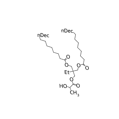 CCCCCCCCCCCCCCCCCC(=O)OCC(CC)(COC(=O)CCCCCCCCCCCCCCCCC)COC(=O)C(C)O